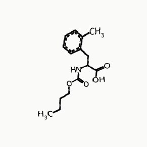 CCCCOC(=O)NC(Cc1ccccc1C)C(=O)O